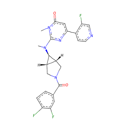 CN(c1nc(-c2ccncc2F)cc(=O)n1C)[C@H]1[C@@H]2CN(C(=O)c3ccc(F)c(F)c3)C[C@@H]21